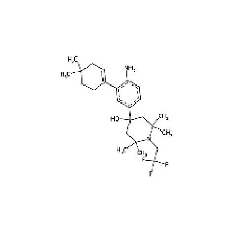 CC1(C)CC=C(c2cc(C3(O)CC(C)(C)N(CC(F)(F)F)C(C)(C)C3)ccc2N)CC1